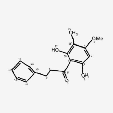 COc1cc(O)c(C(=O)CCc2ccccc2)c(O)c1C